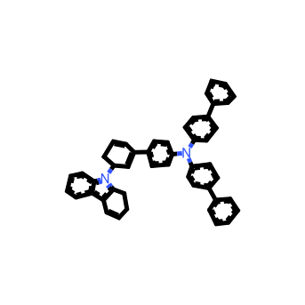 C1=Cc2c(n(C3C=C(c4ccc(N(c5ccc(-c6ccccc6)cc5)c5ccc(-c6ccccc6)cc5)cc4)C=CC3)c3ccccc23)CC1